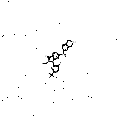 CCn1c(=O)c2cnc(Nc3ccc4c(c3)CNCC4)nc2n1-c1nc(C(C)(C)C)ccc1F